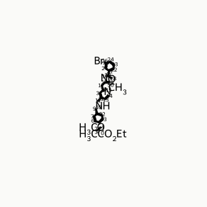 CCOC(=O)C(C)(C)Oc1ccc(CNCc2ccnc(Cc3nc(-c4cccc(Br)c4)oc3C)c2)cc1